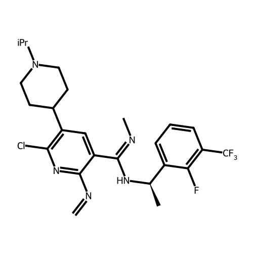 C=Nc1nc(Cl)c(C2CCN(C(C)C)CC2)cc1/C(=N\C)N[C@H](C)c1cccc(C(F)(F)F)c1F